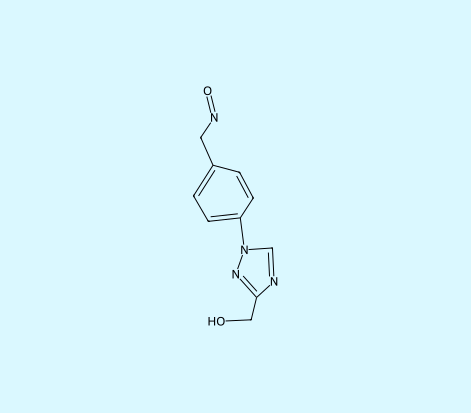 O=NCc1ccc(-n2cnc(CO)n2)cc1